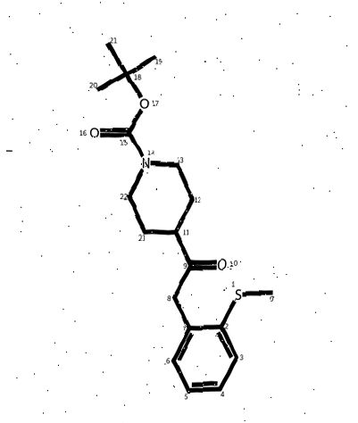 CSc1ccccc1CC(=O)C1CCN(C(=O)OC(C)(C)C)CC1